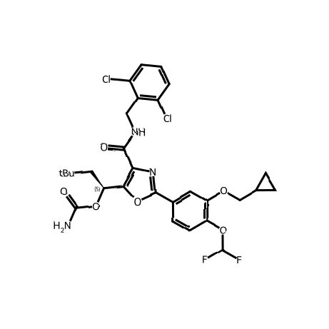 CC(C)(C)C[C@H](OC(N)=O)c1oc(-c2ccc(OC(F)F)c(OCC3CC3)c2)nc1C(=O)NCc1c(Cl)cccc1Cl